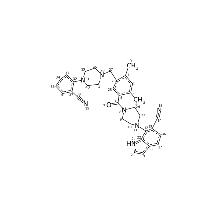 Cc1cc(C)c(C(=O)N2CCN(c3c(C#N)ccc4cc[nH]c34)CC2)cc1CN1CCN(c2ccccc2C#N)CC1